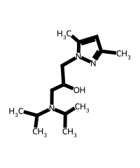 Cc1cc(C)n(CC(O)CN(C(C)C)C(C)C)n1